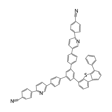 N#Cc1ccc(-c2ccc(-c3ccc(-c4cc(-c5ccc(-c6ccc(-c7ccc(C#N)cc7)nc6)cc5)cc(-c5cccc6c5sc5c(-c7ccccc7)cccc56)c4)cc3)cn2)cc1